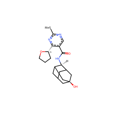 CSc1ncc(C(=O)N[C@H]2C3CC4CC2C[C@@](O)(C4)C3)c([C@@H]2CCCO2)n1